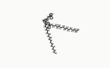 CCCCCCCCCCCCCCCCCCC(C[N+](C)(C)CCCC(=O)[O-])OC(=O)CCCCCCCCCCCCCCC